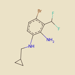 Nc1c(NCC2CC2)ccc(Br)c1C(F)F